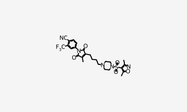 CC1=C(CCCCN2CCN(S(=O)(=O)c3c(C)noc3C)CC2)C(=O)N(c2ccc(C#N)c(C(F)(F)F)c2)C1=O